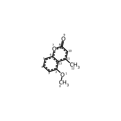 COc1cccc2oc(=O)cc(C)c12